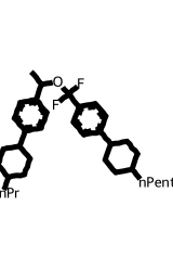 CCCCCC1CCC(c2ccc(C(F)(F)OC(C)c3ccc(C4CCC(CCC)CC4)cc3)cc2)CC1